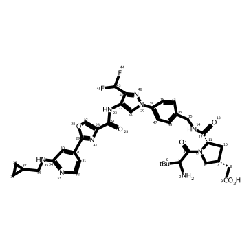 CC(C)(C)C(N)C(=O)N1C[C@@H](CC(=O)O)C[C@H]1C(=O)NCc1ccc(-n2cc(NC(=O)c3coc(-c4ccnc(NCC5CC5)c4)n3)c(C(F)F)n2)cc1